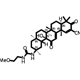 COCCNC(=O)N[C@@]1(C)CC[C@@]2(C)CC[C@@]3(C)[C@]4(C)CC[C@H]5C(C)(C)C(=O)C(C#N)=C[C@]5(C)C4=CC(=O)[C@]3(O)[C@@H]2C1